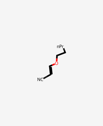 CCCCCOC=CC#N